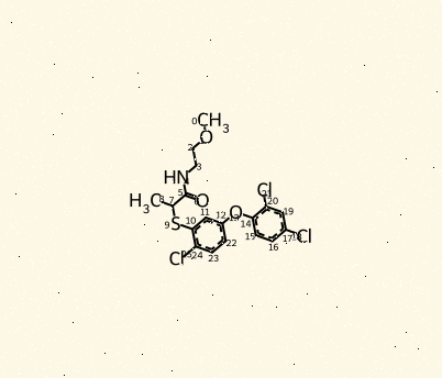 COCCNC(=O)C(C)Sc1cc(Oc2ccc(Cl)cc2Cl)ccc1Cl